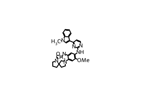 COc1cc(N2CCC3(CCCN3C)C2)c([N+](=O)[O-])cc1Nc1nccc(-c2cn(C)c3ccccc23)n1